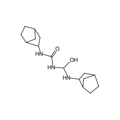 O=C(NC(O)NC1CC2CCC1C2)NC1CC2CCC1C2